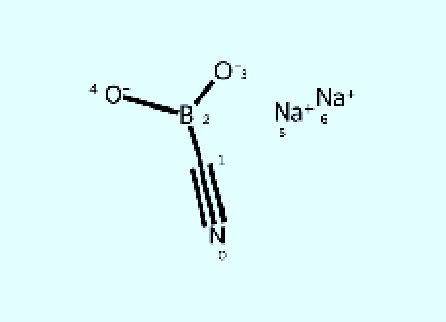 N#CB([O-])[O-].[Na+].[Na+]